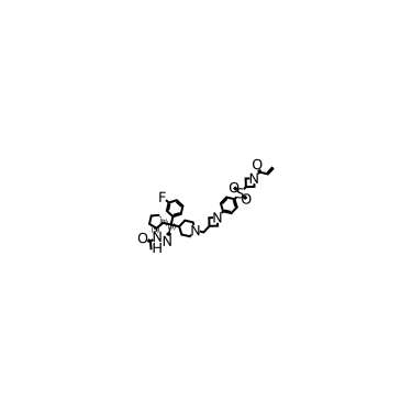 C=CC(=O)N1CC(S(=O)(=O)c2ccc(N3CC(CN4CCC([C@@](C#N)(c5cccc(F)c5)[C@H]5CCC[C@@H]5NC(C)=O)CC4)C3)cc2)C1